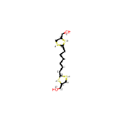 OCC1CSC(CCCCCCC2SCC(CO)S2)S1